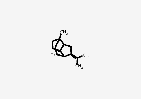 CC(C)=C1CC2C3(C)CCC1C2(C)CC3